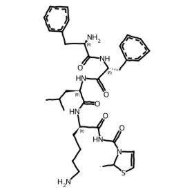 [CH2]C1SC=CN1C(=O)NC(=O)[C@@H](CCCCN)NC(=O)[C@@H](CC(C)C)NC(=O)[C@@H](Cc1ccccc1)NC(=O)[C@H](N)Cc1ccccc1